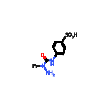 CC(C)N(N)C(=O)Nc1ccc(S(=O)(=O)O)cc1